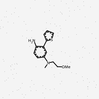 COCCN(C)c1ccc(N)c(-c2cccs2)c1